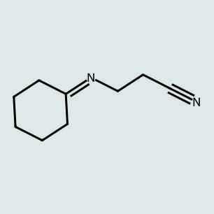 N#CCCN=C1CCCCC1